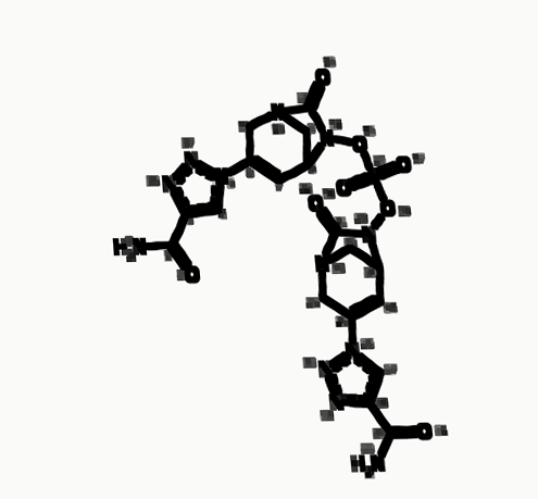 NC(=O)c1cn(C2=CC3CN(C2)C(=O)N3OS(=O)(=O)ON2C(=O)N3CC(n4cc(C(N)=O)nn4)=CC2C3)nn1